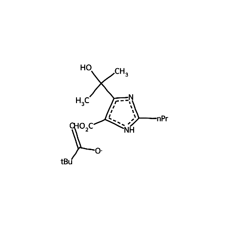 CC(C)(C)C([O])=O.CCCc1nc(C(C)(C)O)c(C(=O)O)[nH]1